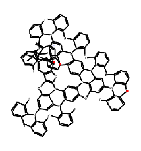 C=C(/C=C\c1sc2c(c1C)N(c1c(F)cccc1F)c1cc(N(c3c(F)cccc3F)c3c(F)cccc3F)cc3c1B2c1cc2c(cc1N3c1c(F)cccc1F)N(c1c(F)cccc1F)c1cc(N(c3c(F)cccc3F)c3c(F)cccc3F)cc3c1B2c1cc2c(cc1O3)N(c1c(F)cccc1F)c1cc(N(c3c(F)cccc3F)c3c(F)cccc3F)cc3c1B2c1sc2ccc(C(C)(C)C)cc2c1O3)C(C)(C)C